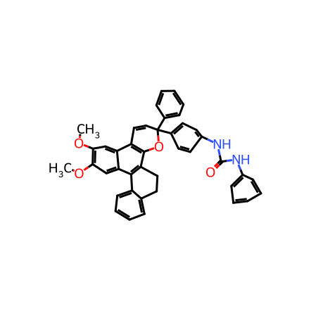 COc1cc2c3c(c4c(c2cc1OC)-c1ccccc1CC4)OC(c1ccccc1)(c1ccc(NC(=O)Nc2ccccc2)cc1)C=C3